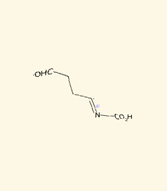 O=[C]CC/[C]=N/C(=O)O